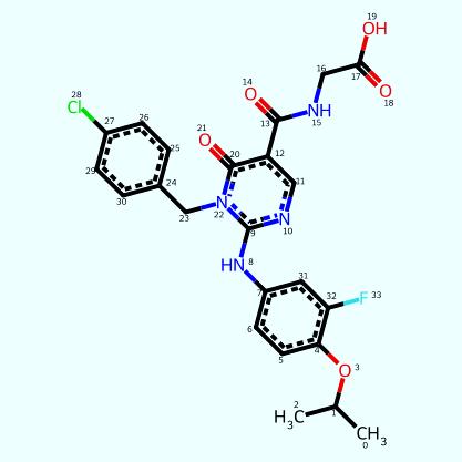 CC(C)Oc1ccc(Nc2ncc(C(=O)NCC(=O)O)c(=O)n2Cc2ccc(Cl)cc2)cc1F